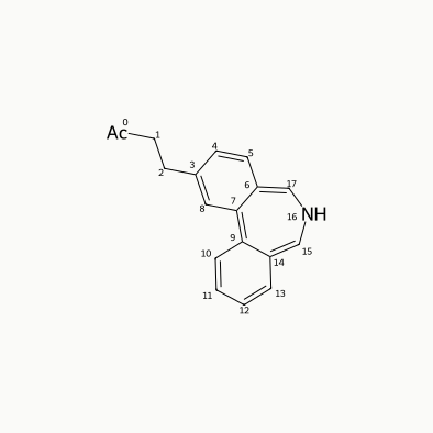 CC(=O)CCc1ccc2c(c1)=c1ccccc1=CNC=2